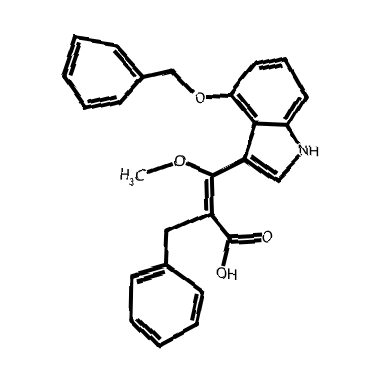 COC(=C(Cc1ccccc1)C(=O)O)c1c[nH]c2cccc(OCc3ccccc3)c12